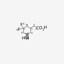 Cl.O=C(O)CC1CNCC(F)(F)C1